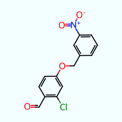 O=Cc1ccc(OCc2cccc([N+](=O)[O-])c2)cc1Cl